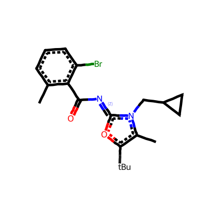 Cc1cccc(Br)c1C(=O)/N=c1\oc(C(C)(C)C)c(C)n1CC1CC1